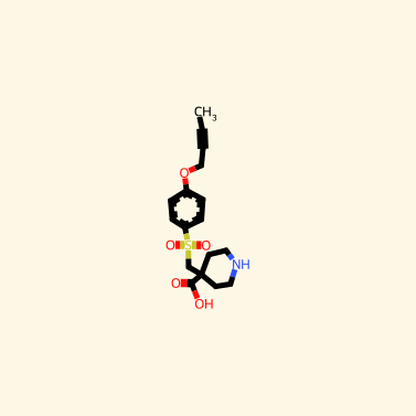 CC#CCOc1ccc(S(=O)(=O)CC2(C(=O)O)CCNCC2)cc1